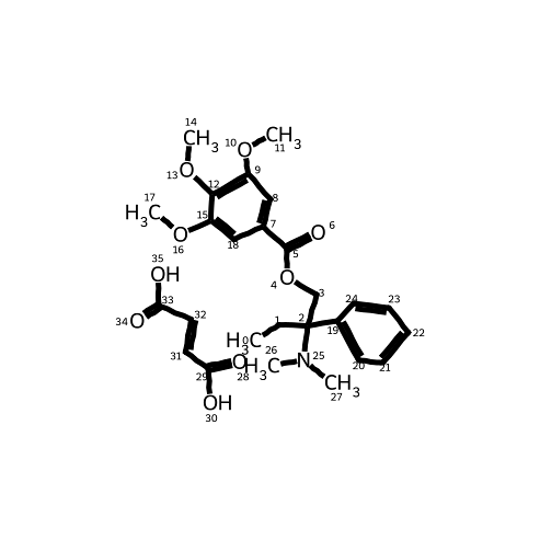 CCC(COC(=O)c1cc(OC)c(OC)c(OC)c1)(c1ccccc1)N(C)C.O=C(O)/C=C/C(=O)O